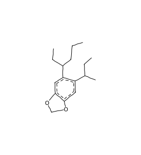 CCCC(CC)c1cc2c(cc1C(C)CC)OCO2